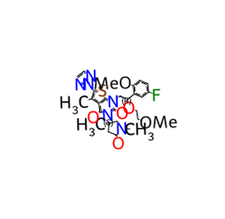 COCCO[C@@H](Cn1c(=O)n([C@@]2(C)CC(=O)N(C)C2)c(=O)c2c(C)c(-n3nccn3)sc21)c1cc(F)ccc1OC